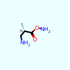 C[C@@H](CN)C(=O)ON